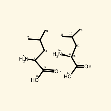 CC(C)CC(N)C(=O)O.CC(C)C[C@H](N)C(=O)O